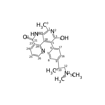 Cc1nc(O)c(-c2ccc(C(C)CN(C)C)cc2)c2c1[nH]c(=O)c1cccnc12